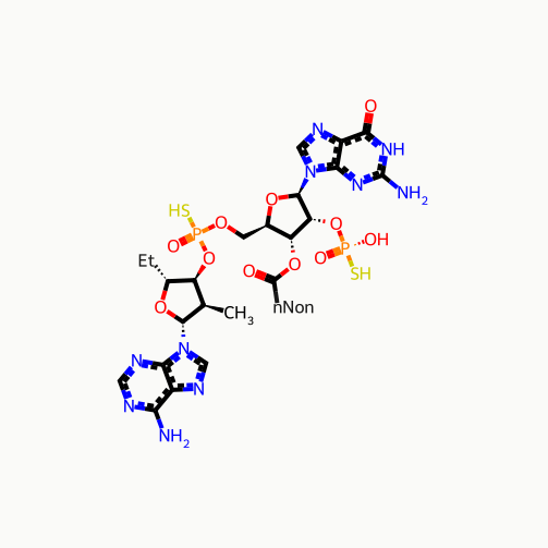 CCCCCCCCCC(=O)O[C@H]1[C@@H](O[P@@](=O)(O)S)[C@H](n2cnc3c(=O)[nH]c(N)nc32)O[C@@H]1COP(=O)(S)O[C@H]1[C@@H](C)[C@H](n2cnc3c(N)ncnc32)O[C@@H]1CC